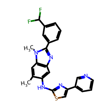 Cc1cc2c(cc1Nc1nc(-c3cccnc3)cs1)nc(-c1cccc(C(F)F)c1)n2C